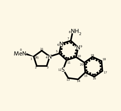 CN[C@@H]1CCN(c2nc(N)nc3c2SCCc2ccccc2-3)C1